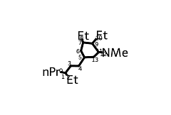 CCCC(CC)CCC1CC(CC)C(CC)C(NC)C1